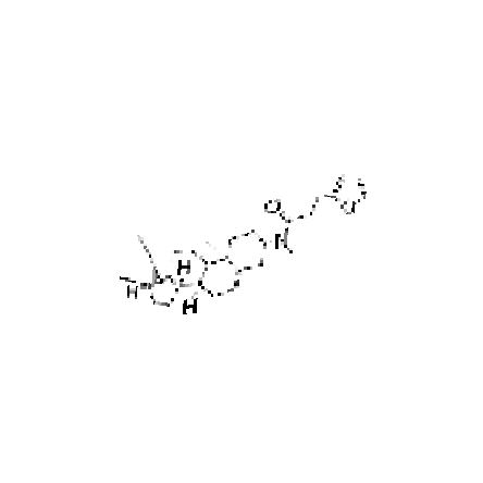 C[C@H]1[C@H]2CC[C@H]3[C@@H]4CC=C5C[C@@H](N(C)C(=O)CCc6ccco6)CC[C@]5(C)C4CC[C@]23CN1C